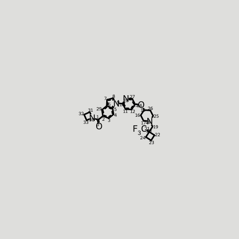 O=C(c1ccc2c(ccn2-c2ccc(OC3CCN(CC4(C(F)(F)F)CCC4)CC3)cn2)c1)N1CCC1